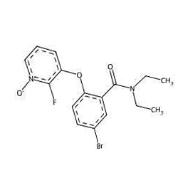 CCN(CC)C(=O)c1cc(Br)ccc1Oc1ccc[n+]([O-])c1F